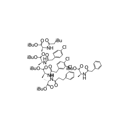 CC(C)COC(=O)[C@H](C)NC(=O)CCc1ccccc1.CC(C)COC(=O)[C@H](C)NC(=O)Cc1ccc(Cl)c(Cl)c1.CC(C)COC(=O)[C@H](C)NC(=O)Cc1ccc(Cl)cc1.CC(C)COC(=O)[C@H](C)NC(=O)Cc1ccccc1.CCC(C)CC(=O)N[C@@H](C)C(=O)OCC(C)C